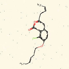 C/C=C\Cc1cc2ccc(OCC/C=C/C)c(F)c2c(=O)o1